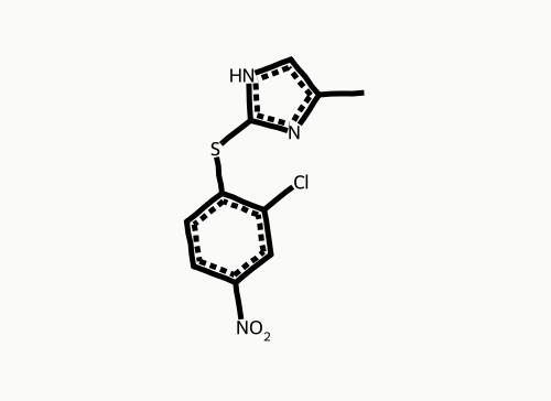 Cc1c[nH]c(Sc2ccc([N+](=O)[O-])cc2Cl)n1